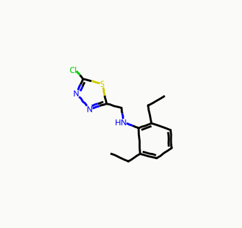 CCc1cccc(CC)c1NCc1nnc(Cl)s1